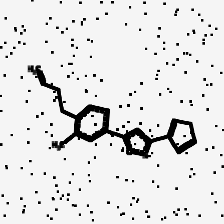 C=CCCc1ccc(-c2cc(C3=CCC=C3)no2)cc1C